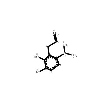 C=CCc1c(N(C)C)ccc(C(C)=O)c1O